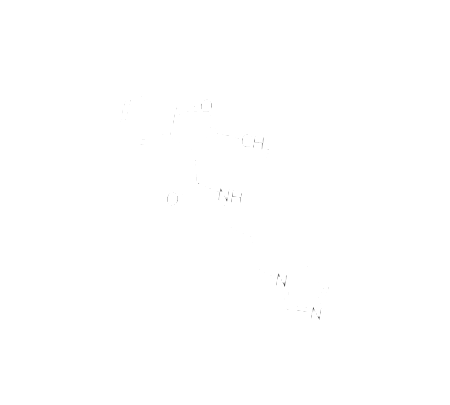 Cc1oc2ccccc2c1C(=O)NCCCn1ccnc1